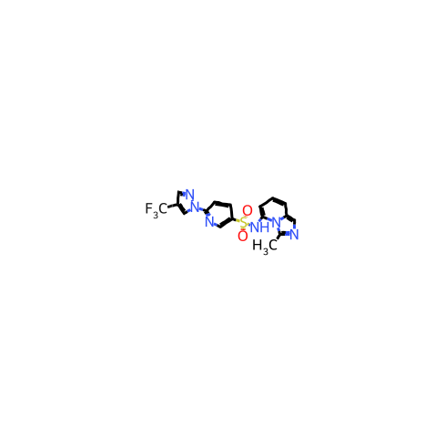 Cc1ncc2cccc(NS(=O)(=O)c3ccc(-n4cc(C(F)(F)F)cn4)nc3)n12